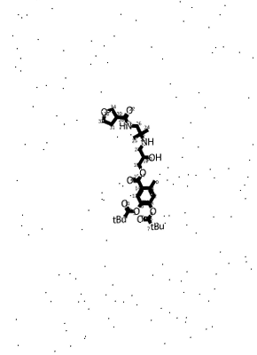 Cc1cc(OC(=O)C(C)(C)C)c(OC(=O)C(C)(C)C)cc1C(=O)OCC(O)CNC(C)(C)CNC(=O)C1CCOC1